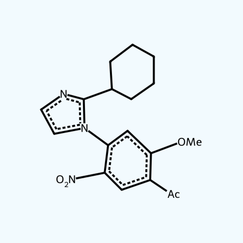 COc1cc(-n2ccnc2C2CCCCC2)c([N+](=O)[O-])cc1C(C)=O